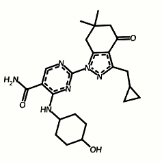 CC1(C)CC(=O)c2c(CC3CC3)nn(-c3ncc(C(N)=O)c(NC4CCC(O)CC4)n3)c2C1